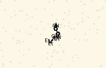 CCN(CC)CCNC(=O)c1cnc2ccc(-c3ccc4oc(C)nc4c3)cn12